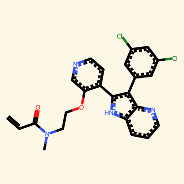 C=CC(=O)N(C)CCOc1cnccc1-c1[nH]c2cccnc2c1-c1cc(Cl)cc(Cl)c1